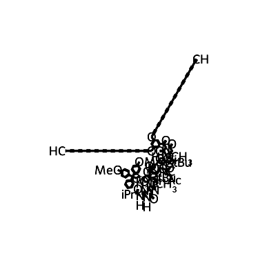 [C-]#[N+]CCOP(=O)(OC[C@H]1O[C@@H](n2ccc(=O)n(C(=O)c3cc(OC#CC#CC#CC#CC#CC#CC#CC#CC#CC#CC#C)cc(OC#CC#CC#CC#CC#CC#CC#CC#CC#CC#CC#C)c3)c2=O)C(O[Si](C)(C)C(C)(C)C)[C@H]1OC(=O)CCC(C)=O)O[C@@H]1C(O[Si](C)(C)C(C)(C)C)[C@H](n2cnc3c(=O)[nH]c(NC(=O)C(C)C)nc32)O[C@@H]1COC(c1ccccc1)(c1ccc(OC)cc1)c1ccc(OC)cc1